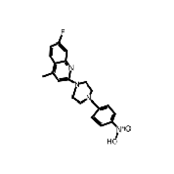 Cc1cc(N2CCN(c3ccc([N+](=O)O)cc3)CC2)nc2cc(F)ccc12